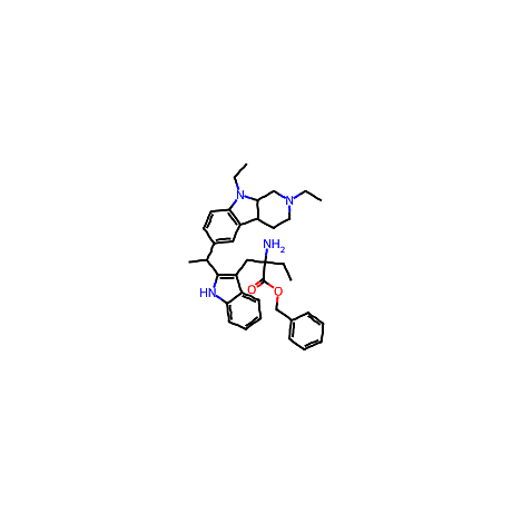 CCN1CCC2c3cc(C(C)c4[nH]c5ccccc5c4CC(N)(CC)C(=O)OCc4ccccc4)ccc3N(CC)C2C1